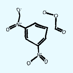 O=COCl.O=[N+]([O-])c1cccc([N+](=O)[O-])c1